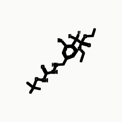 CCOP(=O)(OCC)C(F)(F)c1ccc(CNNC(=O)NOC(C)(C)C)cc1Br